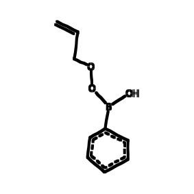 C=CCOOB(O)c1ccccc1